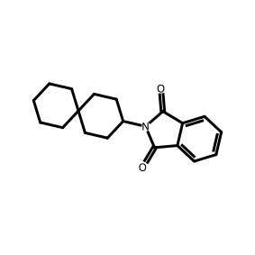 O=C1c2ccccc2C(=O)N1C1CCC2(CCCCC2)CC1